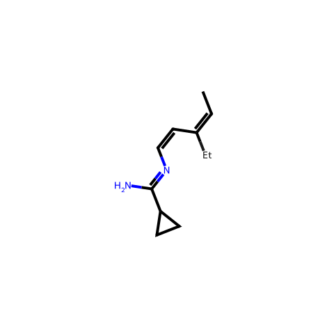 C\C=C(/C=C\N=C(/N)C1CC1)CC